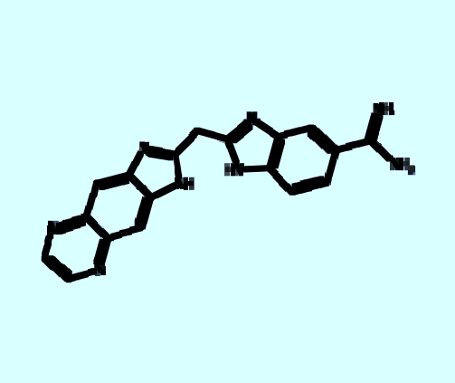 N=C(N)c1ccc2[nH]c(Cc3nc4cc5nccnc5cc4[nH]3)nc2c1